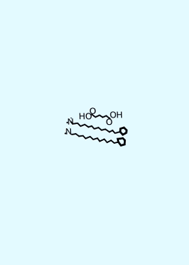 CN(C)CCCCCCCCCCCCCc1ccccc1.CN(C)CCCCCCCCCCCCCc1ccccc1.O=C(O)CCCCC(=O)O